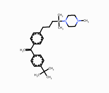 C=C(c1ccc(CCC[Si](C)(C)N2CCN(C)CC2)cc1)c1ccc(C(C)(C)C)cc1